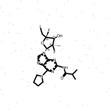 CC(C)C(=O)Nc1nc(N2CCCC2)c2ncn([C@@H]3O[C@](F)(CI)[C@@H](O)[C@@]3(C)F)c2n1